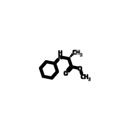 COC(=O)[C@@H](C)NC1CCCCC1